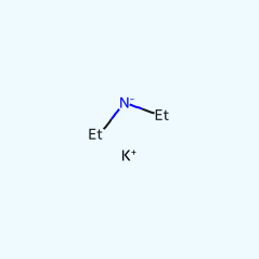 CC[N-]CC.[K+]